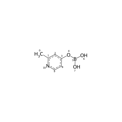 Cc1cc(OB(O)O)ccn1